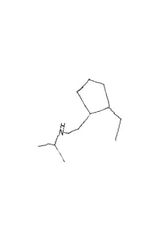 CCC1CCCC1CNC(C)C